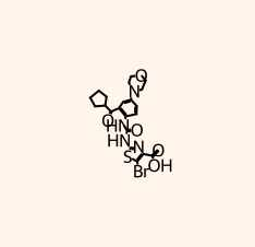 O=C(Nc1nc(C(=O)O)c(Br)s1)Nc1ccc(N2CCOCC2)cc1C(=O)C1CCCC1